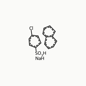 O=S(=O)(O)c1ccc(Cl)cc1.[NaH].c1ccc2ccccc2c1